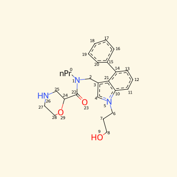 CCCN(Cc1cn(CCCO)c2cccc(-c3ccccc3)c12)C(=O)C1CNCCO1